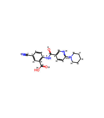 N#Cc1ccc(NC(=O)c2ccc(N3CCCCC3)nc2)c(C(=O)O)c1